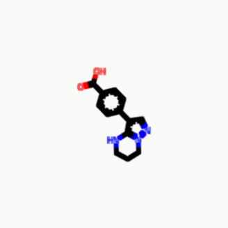 O=C(O)c1ccc(-c2cnn3c2NCCC3)cc1